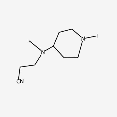 CN(CCC#N)C1CCN(I)CC1